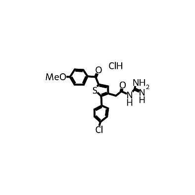 COc1ccc(C(=O)c2cc(CC(=O)NC(=N)N)c(-c3ccc(Cl)cc3)s2)cc1.Cl